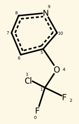 FC(F)(Cl)Oc1cccnc1